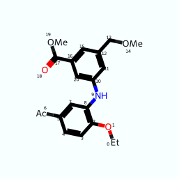 CCOc1ccc(C(C)=O)cc1Nc1cc(COC)cc(C(=O)OC)c1